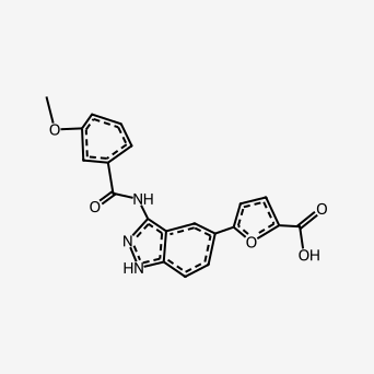 COc1cccc(C(=O)Nc2n[nH]c3ccc(-c4ccc(C(=O)O)o4)cc23)c1